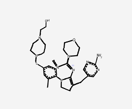 C=N/C(=N\C1=C(Cc2cnc(N)nc2)CCN1c1ccc(SN2CCN(CCO)CC2)cc1C)N1CCOCC1